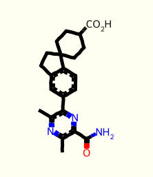 Cc1nc(C)c(-c2ccc3c(c2)CCC32CCC(C(=O)O)CC2)nc1C(N)=O